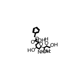 CC(=O)N[C@@H]1[C@@H](O)C[C@](O)(C(=O)OCc2ccccc2)O[C@H]1C(O)[C@H](O)CO